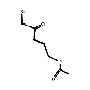 CC(=O)OCCCC(=O)CBr